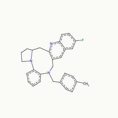 Cc1ccc(CN2Cc3cc4cc(F)ccc4nc3CC3CCCN3c3ccccc32)cc1